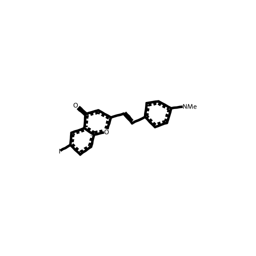 CNc1ccc(C=Cc2cc(=O)c3cc(I)ccc3o2)cc1